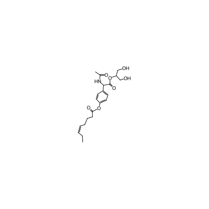 CC/C=C\CCCC(=O)Oc1ccc(C(NC(C)=O)C(=O)OC(CO)CO)cc1